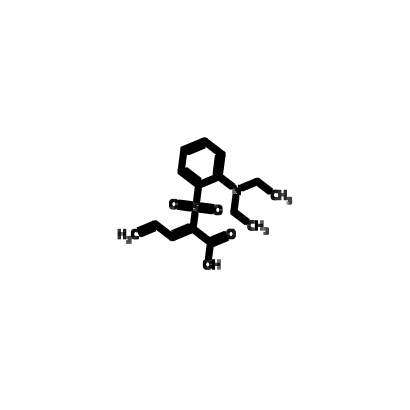 C=C/C=C(/C(=O)O)S(=O)(=O)c1ccccc1N(CC)CC